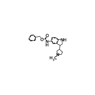 CN1CCC(C2CNc3ccc(NC(=O)OCc4ccccc4)cc32)C1